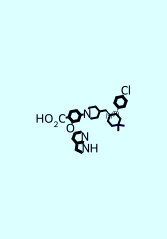 CC1(C)CC[C@@H](CC2CCN(c3ccc(C(=O)O)c(Oc4cnc5[nH]ccc5c4)c3)CC2)[C@H](c2ccc(Cl)cc2)C1